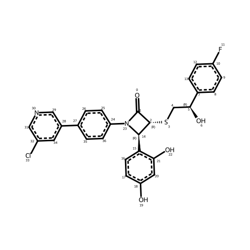 O=C1[C@H](SC[C@H](O)c2ccc(F)cc2)[C@@H](c2ccc(O)cc2O)N1c1ccc(-c2cncc(Cl)c2)cc1